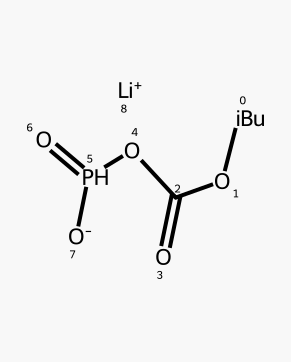 CCC(C)OC(=O)O[PH](=O)[O-].[Li+]